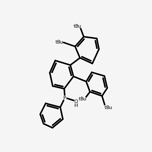 CC(C)(C)c1cccc(-c2cccc(P(O)c3ccccc3)c2-c2cccc(C(C)(C)C)c2C(C)(C)C)c1C(C)(C)C